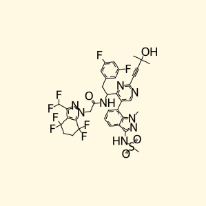 Cn1nc(NS(C)(=O)=O)c2cccc(-c3cnc(C#CC(C)(C)O)nc3C(Cc3cc(F)cc(F)c3)NC(=O)Cn3nc(C(F)F)c4c3C(F)(F)CCC4(F)F)c21